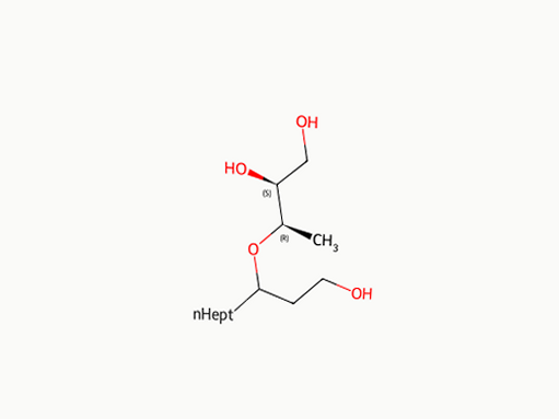 CCCCCCCC(CCO)O[C@H](C)[C@@H](O)CO